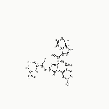 COc1ccc(Cl)cc1C1NN(CC(=O)N2CCCC(OC)C2)C=C1NC(=O)c1cnn2cccnc12